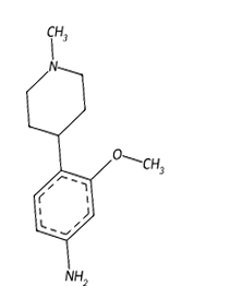 COc1cc(N)ccc1C1CCN(C)CC1